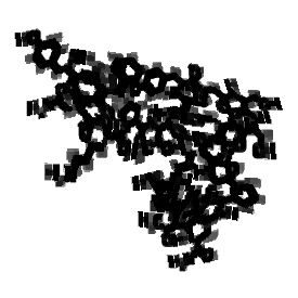 C[C@H](NC(=O)[C@H](CCCNC(=N)N)NC(=O)[C@H](CO)NC(=O)[C@H](CO)NC(=O)[C@H](CO)NC(=O)CNC(=O)[C@H](Cc1ccc(O)cc1)NC(=O)CNC(=O)[C@@H](NC(=O)[C@@H]1CCCN1C(=O)[C@H](CCCCN)NC(=O)[C@H](CC(N)=O)NC(=O)[C@H](Cc1ccccc1)NC(=O)[C@@H](N)Cc1ccc(O)cc1)[C@@H](C)O)C(=O)N1CCC[C@H]1C(=O)N[C@@H](CCC(N)=O)C(=O)N[C@H](C(=O)O)[C@@H](C)O